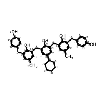 Cc1cc(Cc2ccc(O)cc2)c(O)c(Cc2cc(C3CCCCC3)cc(Cc3cc(C)cc(Cc4ccc(O)cc4)c3O)c2O)c1